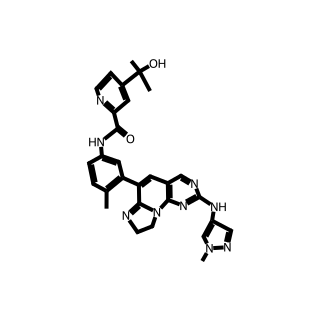 Cc1ccc(NC(=O)c2cc(C(C)(C)O)ccn2)cc1C1=Cc2cnc(Nc3cnn(C)c3)nc2N2CCN=C12